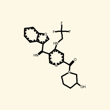 N=C(c1cnc(C(=O)N2CCCC(O)C2)cc1NCC(F)(F)F)c1coc2ccccc12